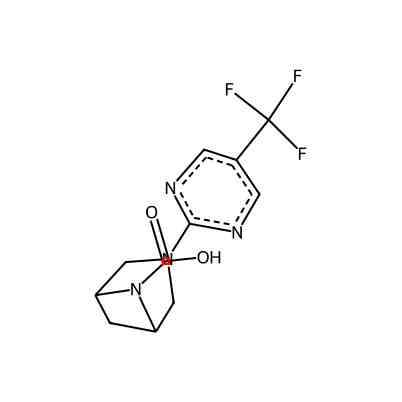 O=C(O)N1C2CC1CN(c1ncc(C(F)(F)F)cn1)C2